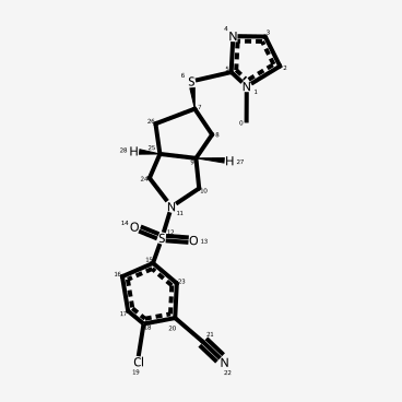 Cn1ccnc1S[C@H]1C[C@@H]2CN(S(=O)(=O)c3ccc(Cl)c(C#N)c3)C[C@@H]2C1